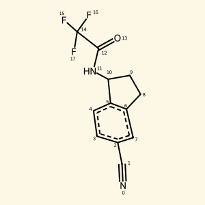 N#Cc1ccc2c(c1)CCC2NC(=O)C(F)(F)F